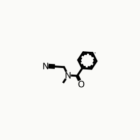 CN(CC#N)C(=O)c1cc[c]cc1